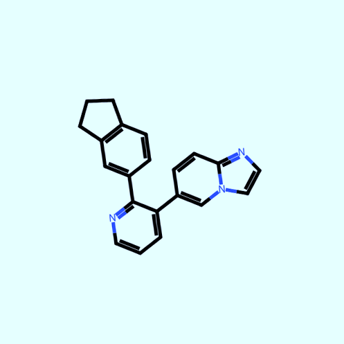 c1cnc(-c2ccc3c(c2)CCC3)c(-c2ccc3nccn3c2)c1